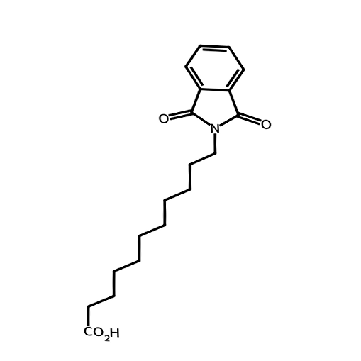 O=C(O)CCCCCCCCCCN1C(=O)c2ccccc2C1=O